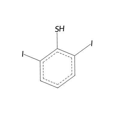 Sc1c(I)cccc1I